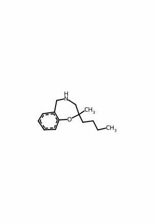 CCCCC1(C)CNCc2ccccc2O1